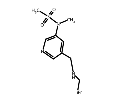 CC(C)CNCc1cncc(N(C)S(C)(=O)=O)c1